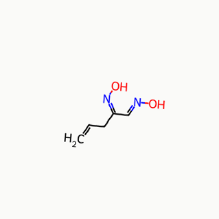 C=CCC(C=NO)=NO